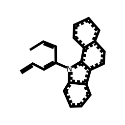 C=C/C=C(\C=C/C)n1c2ccccc2c2ccc3ccccc3c21